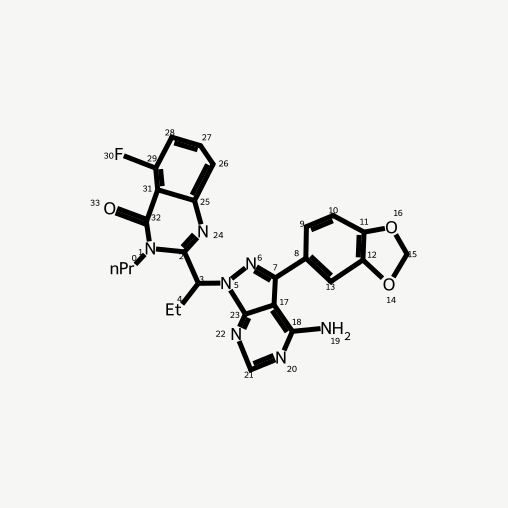 CCCn1c(C(CC)n2nc(-c3ccc4c(c3)OCO4)c3c(N)ncnc32)nc2cccc(F)c2c1=O